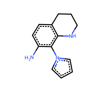 Nc1ccc2c(c1-n1cccc1)NCCC2